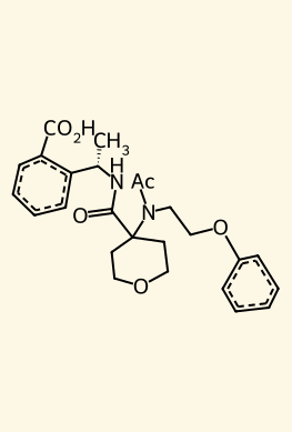 CC(=O)N(CCOc1ccccc1)C1(C(=O)N[C@@H](C)c2ccccc2C(=O)O)CCOCC1